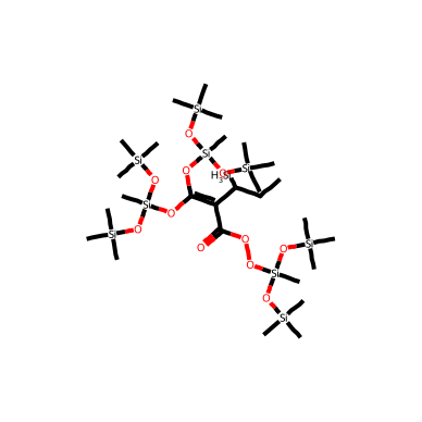 CCC([SiH3])C(C(=O)OO[Si](C)(O[Si](C)(C)C)O[Si](C)(C)C)=C(O[Si](C)(O[Si](C)(C)C)O[Si](C)(C)C)O[Si](C)(O[Si](C)(C)C)O[Si](C)(C)C